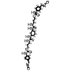 O=C=NCc1ccc(NC(=O)OCCCNC(=S)NC2CCCC(NC(=S)NCCCOC(=O)Nc3ccc(CN=C=O)cc3)C2)cc1